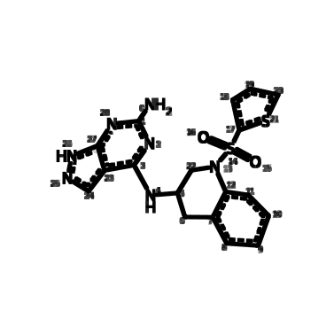 Nc1nc(NC2Cc3ccccc3N(S(=O)(=O)c3cccs3)C2)c2cn[nH]c2n1